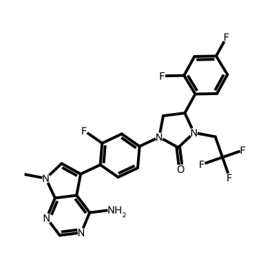 Cn1cc(-c2ccc(N3CC(c4ccc(F)cc4F)N(CC(F)(F)F)C3=O)cc2F)c2c(N)ncnc21